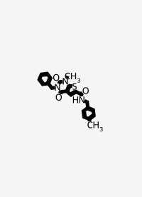 Cc1ccc(CNC(=O)c2cc3c(=O)n(Cc4ccccc4)c(=O)n(C)c3s2)cc1